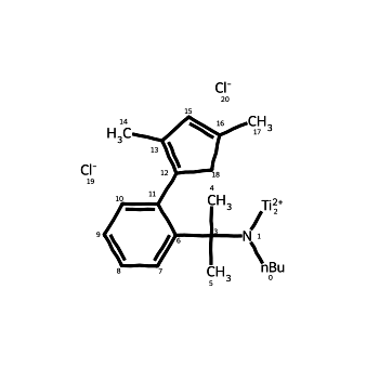 CCCC[N]([Ti+2])C(C)(C)c1ccccc1C1=C(C)C=C(C)C1.[Cl-].[Cl-]